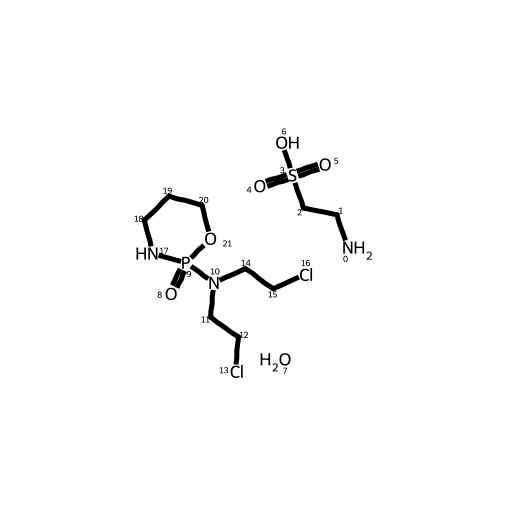 NCCS(=O)(=O)O.O.O=P1(N(CCCl)CCCl)NCCCO1